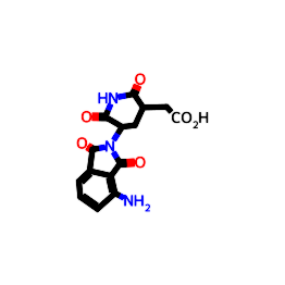 Nc1cccc2c1C(=O)N(C1CC(CC(=O)O)C(=O)NC1=O)C2=O